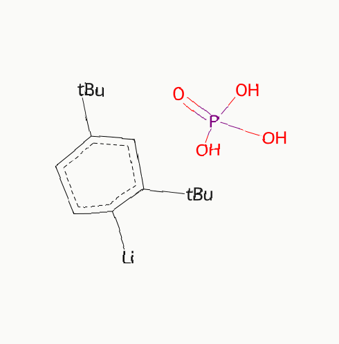 O=P(O)(O)O.[Li][c]1ccc(C(C)(C)C)cc1C(C)(C)C